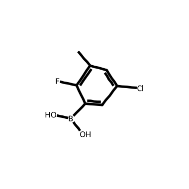 Cc1cc(Cl)cc(B(O)O)c1F